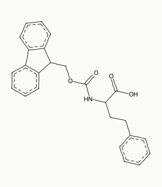 O=C(NC(CCc1ccccc1)C(=O)O)OCC1c2ccccc2-c2ccccc21